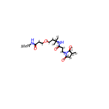 CNNC(=O)CCOCCC(C)(C)NC(=O)CCN1C(=O)CC(C)C1=O